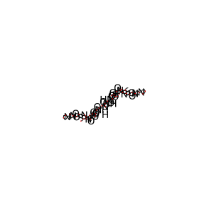 CCc1c2c(nc3ccc(OC(=O)N4CCC(N5CCCCC5)CC4)cc13)-c1cc3c(c(=O)n1C2)COC(=O)[C@@]3(CC)OC(=O)CNC(=O)CCC(NC)C(=O)NCC(=O)NCC(=O)O[C@]1(CC)C(=O)OCc2c1cc1n(c2=O)Cc2c-1nc1ccc(OC(=O)N3CCC(N4CCCCC4)CC3)cc1c2CC